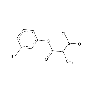 CC(C)c1cccc(OC(=O)N(C)[S+]([O-])Cl)c1